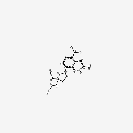 CC(C)c1cnc(N2CCC(CF)(CCF)C2)c2cnc(Cl)cc12